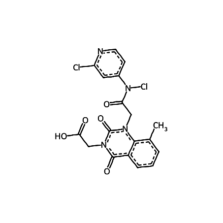 Cc1cccc2c(=O)n(CC(=O)O)c(=O)n(CC(=O)N(Cl)c3ccnc(Cl)c3)c12